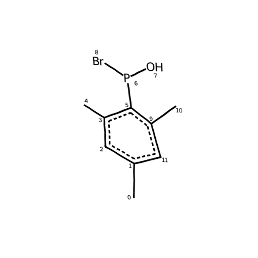 Cc1cc(C)c(P(O)Br)c(C)c1